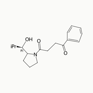 CC(C)[C@@H](O)C1CCCN1C(=O)CCC(=O)c1ccccc1